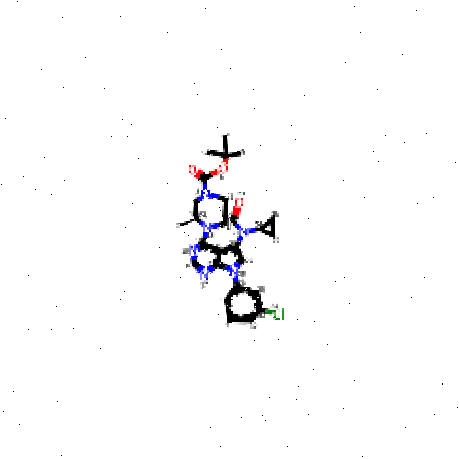 C[C@H]1CN(C(=O)OC(C)(C)C)CCN1c1ncnc2c1c(N(C=O)C1CC1)cn2-c1cccc(Cl)c1